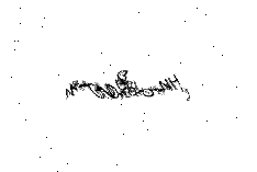 [N-]=[N+]=NCCOCCOCC(COCCOCCN)OC(=O)Cl